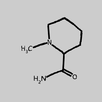 CN1CCCCC1C(N)=O